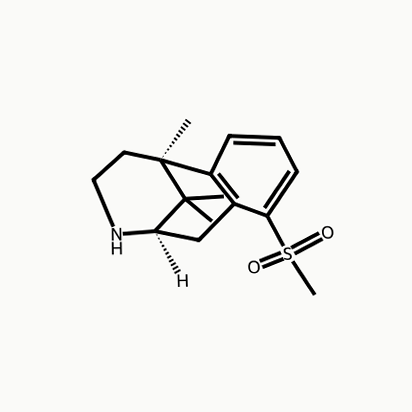 CC1(C)[C@H]2Cc3c(cccc3S(C)(=O)=O)[C@]1(C)CCN2